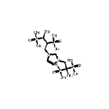 O=P(O)(O)C(O)C(CN1C=CN(CC(O)(P(=O)(O)O)P(=O)(O)O)C1)P(=O)(O)O